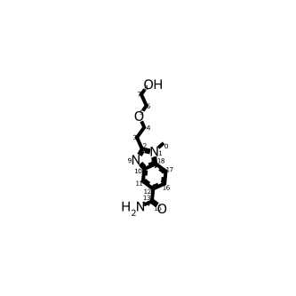 Cn1c(CCOCCO)nc2cc(C(N)=O)ccc21